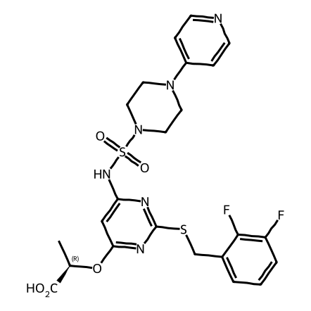 C[C@@H](Oc1cc(NS(=O)(=O)N2CCN(c3ccncc3)CC2)nc(SCc2cccc(F)c2F)n1)C(=O)O